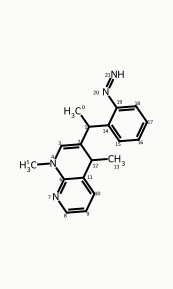 CC(C1=CN(C)c2ncccc2C1C)c1ccccc1N=N